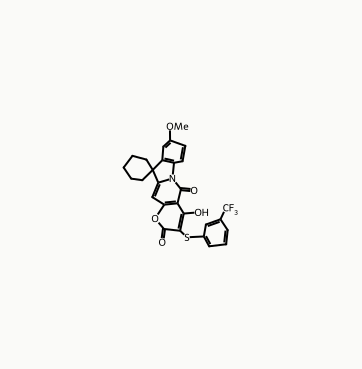 COc1ccc2c(c1)C1(CCCCC1)c1cc3oc(=O)c(Sc4cccc(C(F)(F)F)c4)c(O)c3c(=O)n1-2